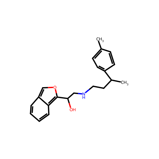 Cc1ccc(C(C)CCNCC(O)c2occ3ccccc23)cc1